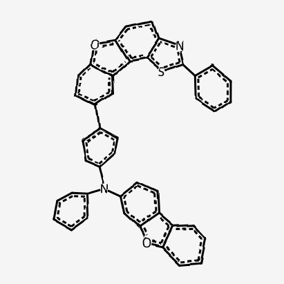 c1ccc(-c2nc3ccc4oc5ccc(-c6ccc(N(c7ccccc7)c7ccc8c(c7)oc7ccccc78)cc6)cc5c4c3s2)cc1